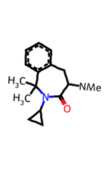 CNC1Cc2ccccc2C(C)(C)N(C2CC2)C1=O